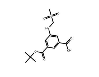 CC(C)(C)OC(=O)c1cc(NCS(C)(=O)=O)cc(C(=O)O)c1